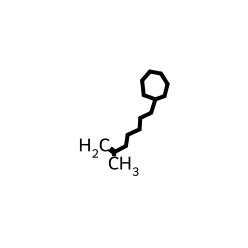 C=C(C)CCCCCC1CCCCCC1